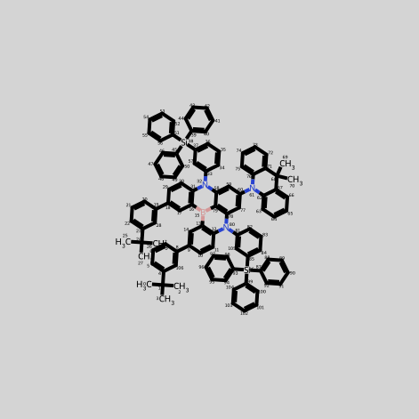 CC(C)(C)c1cccc(-c2ccc3c(c2)B2c4cc(-c5cccc(C(C)(C)C)c5)ccc4N(c4cccc([Si](c5ccccc5)(c5ccccc5)c5ccccc5)c4)c4cc(N5c6ccccc6C(C)(C)c6ccccc65)cc(c42)N3c2cccc([Si](c3ccccc3)(c3ccccc3)c3ccccc3)c2)c1